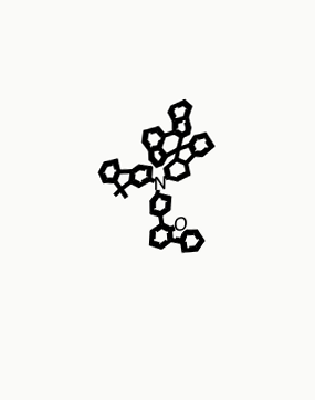 CC1(C)c2ccccc2-c2ccc(N(C3=CC4C(C=C3)c3ccccc3C43c4ccc5ccccc5c4-c4cccc5cccc3c45)c3ccc(-c4cccc5c4oc4ccccc45)cc3)cc21